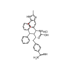 Cc1nc2cc(C(NC(=O)O)C(CCc3ccc(C(=N)N)cc3)C(c3ccccc3)c3ccccc3)ccc2[nH]1.Cl